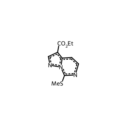 CCOC(=O)c1cnn2c(SC)nccc12